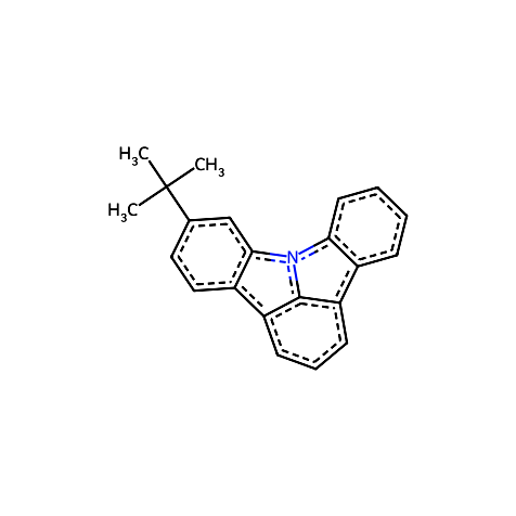 CC(C)(C)c1ccc2c3cccc4c5ccccc5n(c2c1)c43